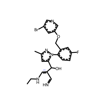 CCN/C=C(\C=N)C(O)c1cc(C)nn1-c1ccc(F)cc1COc1cncc(Br)c1